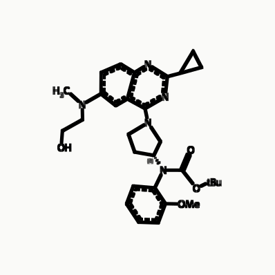 COc1ccccc1N(C(=O)OC(C)(C)C)[C@@H]1CCN(c2nc(C3CC3)nc3ccc(N(C)CCO)cc23)C1